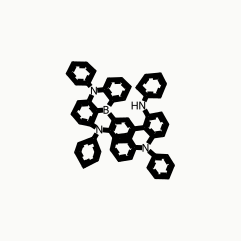 c1ccc(Nc2cccc(N(c3ccccc3)c3ccccc3)c2-c2ccc3c(c2)B2c4ccccc4N(c4ccccc4)c4cccc(c42)N3c2ccccc2)cc1